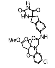 COC(=O)CC1Oc2ccc(Cl)cc2N(CC(=O)Nc2ccc3c(c2)CC2(C3)NC(=O)NC2=O)C1=O